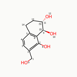 OCc1ccc2c(c1O)[C@H](O)[C@@H](O)CC2